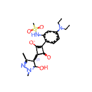 CCN(CC)c1ccc(C2=C([O-])/C(=C3\C(C)=N[N+](C)=C3O)C2=O)c(NS(C)(=O)=O)c1